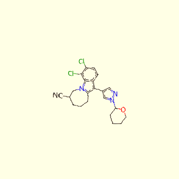 N#CC1CCCc2c(-c3cnn(C4CCCCO4)c3)c3ccc(Cl)c(Cl)c3n2C1